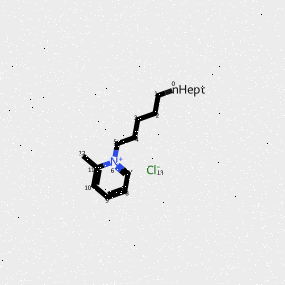 CCCCCCCCCCCC[n+]1ccccc1C.[Cl-]